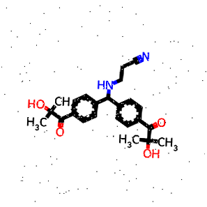 CC(C)(O)C(=O)c1ccc(C(NCCC#N)c2ccc(C(=O)C(C)(C)O)cc2)cc1